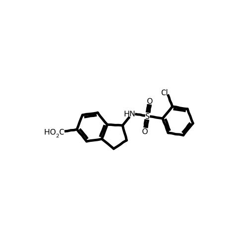 O=C(O)c1ccc2c(c1)CCC2NS(=O)(=O)c1ccccc1Cl